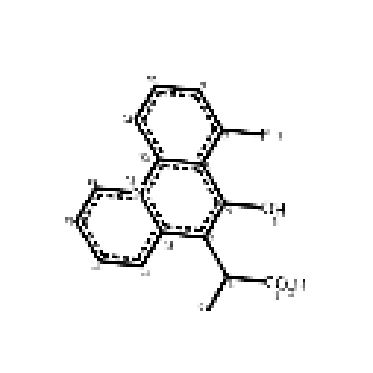 CC(C(=O)O)c1c(O)c2c(F)cccc2[n+]2ccccc12